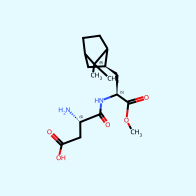 COC(=O)[C@H](C[C@H]1CC2CCC1C2(C)C)NC(=O)[C@@H](N)CC(=O)O